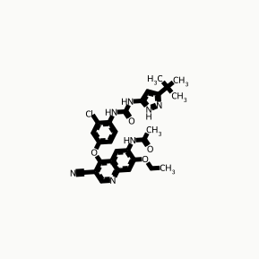 CCOc1cc2ncc(C#N)c(Oc3ccc(NC(=O)Nc4cc(C(C)(C)C)n[nH]4)c(Cl)c3)c2cc1NC(C)=O